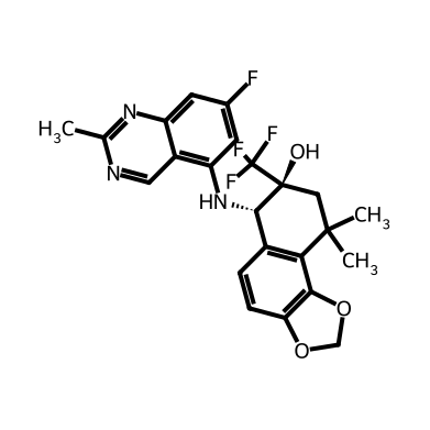 Cc1ncc2c(N[C@H]3c4ccc5c(c4C(C)(C)C[C@@]3(O)C(F)(F)F)OCO5)cc(F)cc2n1